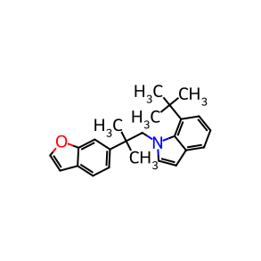 CC(C)(C)c1cccc2ccn(CC(C)(C)c3ccc4ccoc4c3)c12